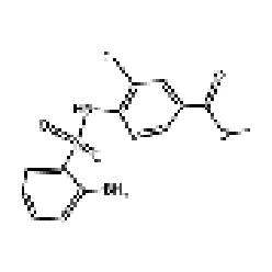 Bc1ccccc1S(=O)(=O)Nc1ccc(C(=O)OC)cc1Cl